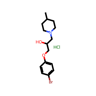 CC1CCN(CC(O)COc2ccc(Br)cc2)CC1.Cl